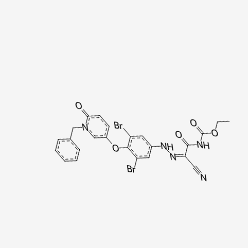 CCOC(=O)NC(=O)C(C#N)=NNc1cc(Br)c(Oc2ccc(=O)n(Cc3ccccc3)c2)c(Br)c1